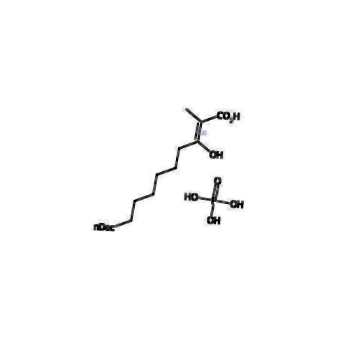 CCCCCCCCCCCCCCCC/C(O)=C(\C)C(=O)O.O=P(O)(O)O